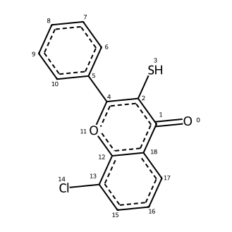 O=c1c(S)c(-c2ccccc2)oc2c(Cl)cccc12